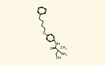 C[C@](N)(CO)C(=O)Nc1ccc(OCCCCc2ccccc2)cc1